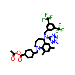 CC(=O)OC(=O)C1CCC(CN2CCC[C@H](N(Cc3cc(C(F)(F)F)cc(C(F)(F)F)c3)c3nnn(C)n3)c3cc(C)cc(C)c32)CC1